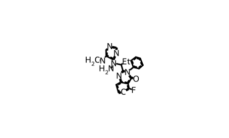 C=Nc1cncnc1N(N)C(CC)c1nc2cccc(F)c2c(=O)n1-c1ccccc1